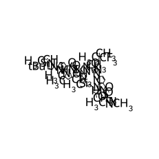 Cc1nn(C)cc1S(=O)(=O)NC(=O)c1ccc(-n2ccc(OCC(C)(C)C(F)(F)F)n2)nc1N1C[C@@H](C)CC1CC[SiH](C)CCc1nn(C)cc1S(=O)(=O)NC(=O)c1ccc(-n2ccc([Si](C)(C)C(C)(C)C)n2)nc1N1C[C@@H](C)CC1(C)C